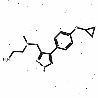 CN(CCN)Cc1n[nH]cc1-c1ccc(OC2CC2)cc1